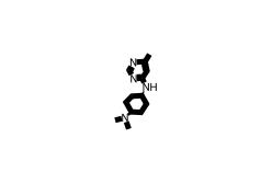 Cc1cc(N[C@H]2CC[C@H](N(C)C)CC2)ncn1